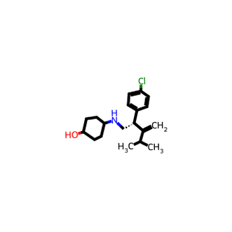 C=C(C(C)C)[C@H](CNC1CCC(O)CC1)c1ccc(Cl)cc1